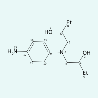 CCC(O)CN(CC(O)CC)c1ccc(N)cc1